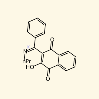 CCC/N=C(\C1=C(O)C(=O)c2ccccc2C1=O)c1ccccc1